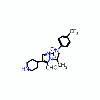 CC(CN(C)c1ccc(C(F)(F)F)cc1)n1ncc(C2CCNCC2)c1C=O